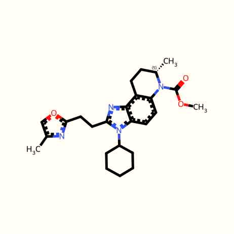 COC(=O)N1c2ccc3c(nc(CCc4nc(C)co4)n3C3CCCCC3)c2CC[C@@H]1C